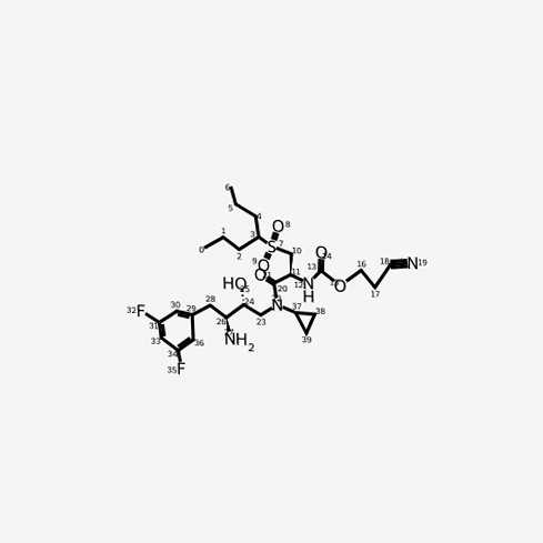 CCCC(CCC)S(=O)(=O)C[C@@H](NC(=O)OCCC#N)C(=O)N(C[C@@H](O)[C@@H](N)Cc1cc(F)cc(F)c1)C1CC1